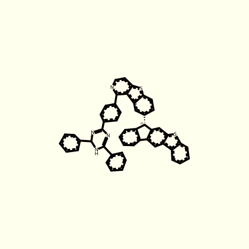 c1ccc(C2=NC(c3ccc(-c4nccc5sc6ccc([C@H]7c8ccccc8-c8cc9c(cc87)sc7ccccc79)cc6c45)cc3)=NC(c3ccccc3)N2)cc1